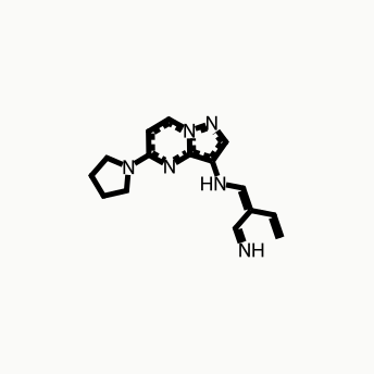 C=C/C(C=N)=C/Nc1cnn2ccc(N3CCCC3)nc12